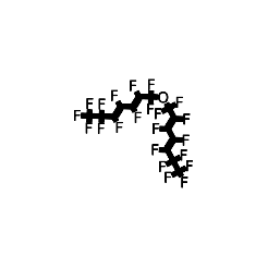 FC(C(F)=C(F)C(F)(F)C(F)(F)F)=C(F)C(F)(F)OC(F)(F)C(F)=C(F)C(F)=C(F)C(F)(F)C(F)(F)F